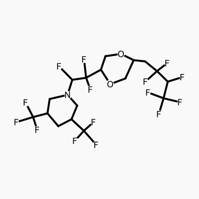 FC(C(F)(F)F)C(F)(F)CC1COC(C(F)(F)C(F)N2CC(C(F)(F)F)CC(C(F)(F)F)C2)CO1